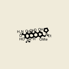 CCN(Cc1cc(O)c2c(c1OC)C[C@H]1C[C@H]3[C@H](N(C)C)C(O)=C(C(N)=O)C(=O)[C@@]3(O)C(O)=C1C2=O)C1CCCC1